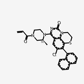 C=CC(=O)N1CCN(c2nc(=O)n3c4c(c(-c5cccc6ccccc56)c(Cl)cc24)SCC3)[C@@H](C)C1